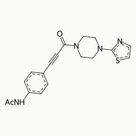 CC(=O)Nc1ccc(C#CC(=O)N2CCN(c3nccs3)CC2)cc1